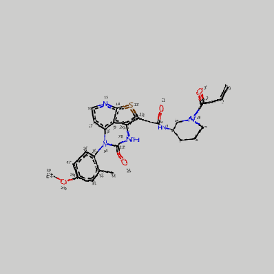 C=CC(=O)N1CCCC(NC(=O)c2sc3nccc4c3c2NC(=O)N4c2ccc(OCC)cc2C)C1